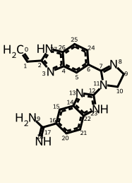 C=Cc1nc2cc(C3=NCCN3c3nc4cc(C(=N)N)ccc4[nH]3)ccc2[nH]1